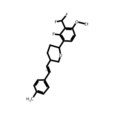 CCOc1ccc(C2CCC(/C=C/c3ccc(C)cc3)CO2)c(F)c1C(F)F